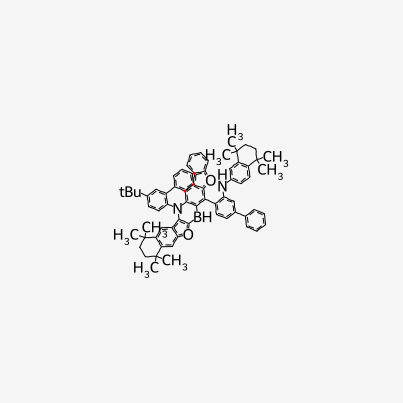 CC(C)(C)c1ccc(N2c3cc4c(oc5ccccc54)c(-c4ccc(-c5ccccc5)cc4Nc4ccc5c(c4)C(C)(C)CCC5(C)C)c3Bc3oc4cc5c(cc4c32)C(C)(C)CCC5(C)C)c(-c2ccccc2)c1